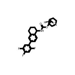 O=C(NC1CCCc2cc(-c3cc(F)c(F)cc3F)ccc21)O[C@H]1CN2CCC1CC2